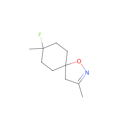 CC1=NOC2(CCC(C)(F)CC2)C1